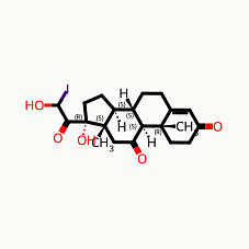 C[C@]12CCC(=O)C=C1CC[C@@H]1[C@@H]2C(=O)C[C@@]2(C)[C@H]1CC[C@]2(O)C(=O)C(O)I